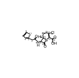 O=C(Cc1cccs1)NC1C(=O)N2C(C(=O)O)=C(Cl)CS[C@@H]12